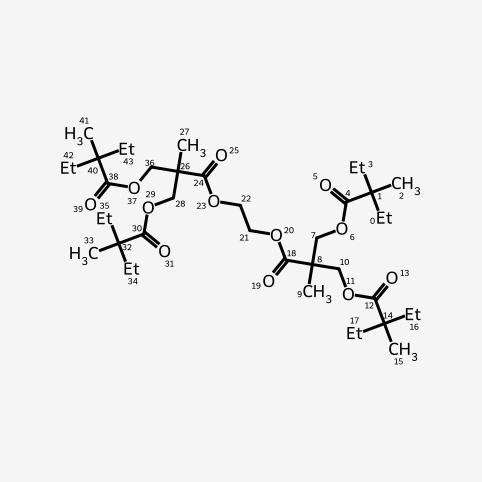 CCC(C)(CC)C(=O)OCC(C)(COC(=O)C(C)(CC)CC)C(=O)OCCOC(=O)C(C)(COC(=O)C(C)(CC)CC)COC(=O)C(C)(CC)CC